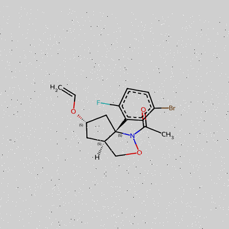 C=CO[C@H]1C[C@@H]2CON(C(C)=O)[C@@]2(c2cc(Br)ccc2F)C1